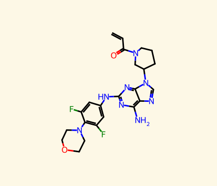 C=CC(=O)N1CCCC(n2cnc3c(N)nc(Nc4cc(F)c(N5CCOCC5)c(F)c4)nc32)C1